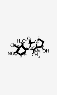 Cc1c(N2C(=O)N3CC[C@@H](O)[C@H]3C2C)ccc(C#N)c1Cl